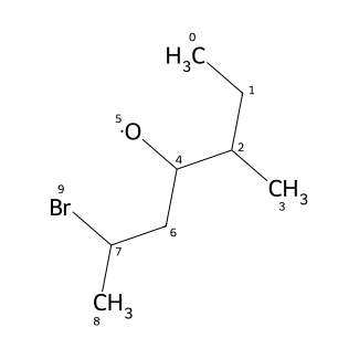 CCC(C)C([O])CC(C)Br